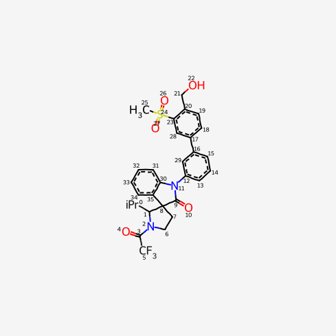 CC(C)C1N(C(=O)C(F)(F)F)CCC12C(=O)N(c1cccc(-c3ccc(CO)c(S(C)(=O)=O)c3)c1)c1ccccc12